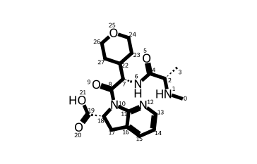 CN[C@@H](C)C(=O)N[C@H](C(=O)N1c2ncccc2C[C@@H]1C(=O)O)C1CCOCC1